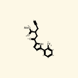 C#CCC(CC(=O)c1ccc(-c2ccccc2C(F)(F)F)[nH]1)C(=O)OC